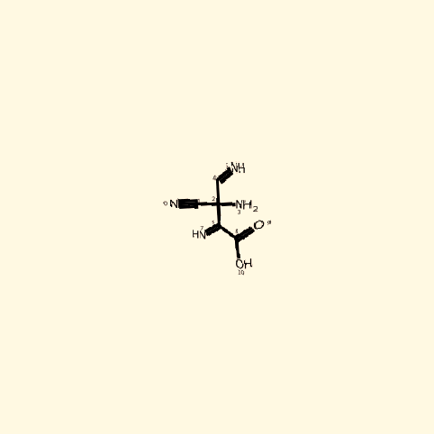 N#CC(N)(C=N)C(=N)C(=O)O